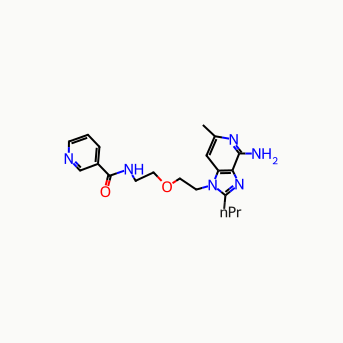 CCCc1nc2c(N)nc(C)cc2n1CCOCCNC(=O)c1cccnc1